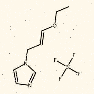 CCOC=CCn1ccnc1.F[B-](F)(F)F